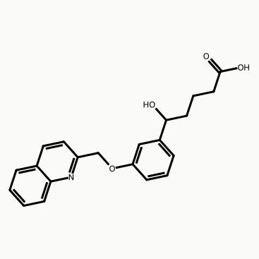 O=C(O)CCCC(O)c1cccc(OCc2ccc3ccccc3n2)c1